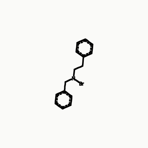 BrN(CCc1ccccc1)Cc1ccccc1